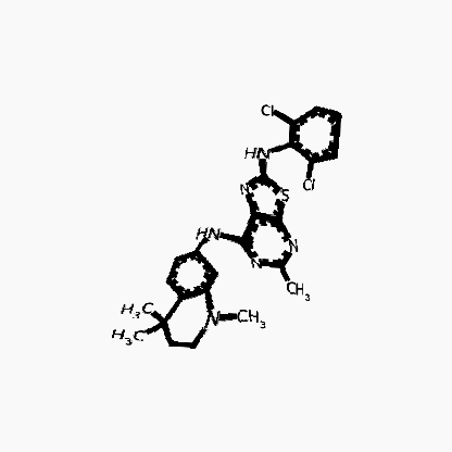 Cc1nc(Nc2ccc3c(c2)N(C)CCC3(C)C)c2nc(Nc3c(Cl)cccc3Cl)sc2n1